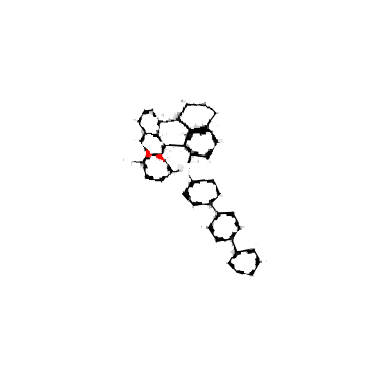 CC(C)(C)c1ccc(N(c2ccc(-c3ccc(-c4ccccc4)cc3)cc2)c2ccccc2-c2cccc3cccc(C4CCCCC4)c23)cc1